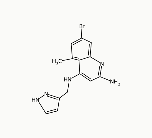 Cc1cc(Br)cc2nc(N)cc(NCc3cc[nH]n3)c12